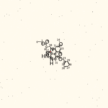 CCOC(=O)[C@@H]1CCCN(c2cc(OC)ccc2C2C(C(=O)OCc3ccccc3)=C(C)Nc3[nH]ncc32)C1